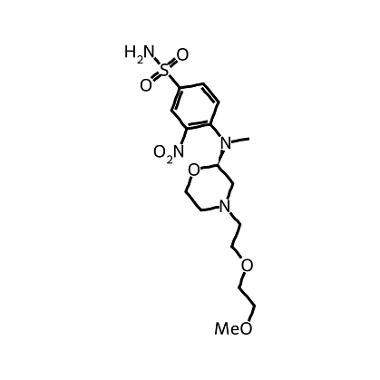 COCCOCCN1CCO[C@@H](N(C)c2ccc(S(N)(=O)=O)cc2[N+](=O)[O-])C1